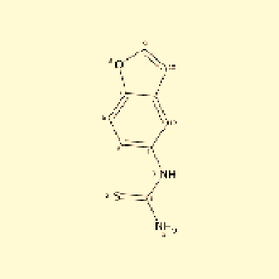 NC(=S)Nc1ccc2occc2c1